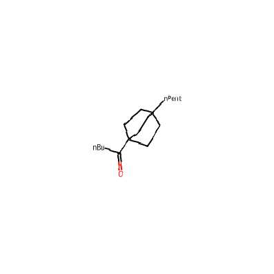 CCCCCC12CCC(C(=O)CCCC)(CC1)CC2